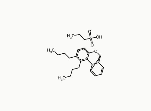 CCCCc1ccc2c(c1CCCC)N1C3=CC=CC1=C3O2.CCCS(=O)(=O)O